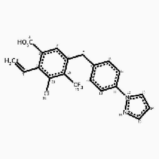 C=Cc1c(C(=O)O)cc(Cc2ccc(-n3cccn3)cc2)c(C(F)(F)F)c1Cl